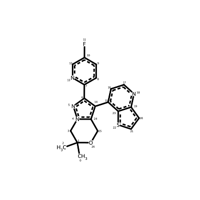 CC1(C)Cn2nc(-c3ccc(F)cn3)c(-c3ccnc4ccsc34)c2CO1